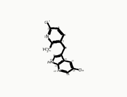 Cc1nc(Cl)ccc1Cc1c[nH]c2ncc(Cl)cc12